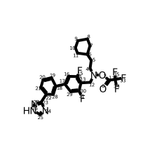 O=C(ON(CCC1CCCCC1)Cc1c(F)cc(-c2cccc(-c3nc[nH]n3)c2)cc1F)C(F)(F)F